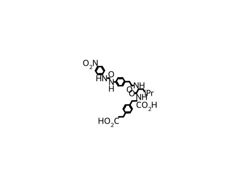 CC(C)CC(NC(=O)Cc1ccc(NC(=O)Nc2ccc([N+](=O)[O-])cc2)cc1)C(=O)NC(Cc1ccc(CCC(=O)O)cc1)C(=O)O